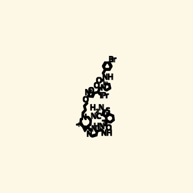 CC(C)C(C(=O)N1CCC[C@H]1C(=O)NCc1ccc(Br)cc1)c1cc(OCCCCN2CCCC3(c4nccc(C(=N)NC(=O)[C@@]5(C)CCCc6sc(N)c(C#N)c65)n4)CC3[C@@H](C)C2)no1